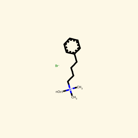 CCCCCCCC[N+](C)(C)CCCCc1ccccc1.[Br-]